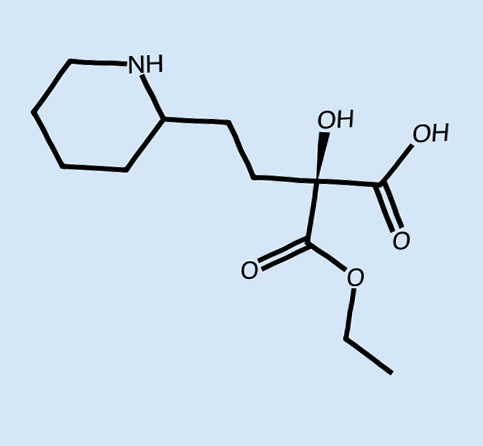 CCOC(=O)[C@](O)(CCC1CCCCN1)C(=O)O